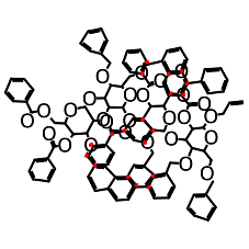 C=CCOC1OC(COCc2ccccc2)C(OCc2ccccc2)C(OC2OC(COC(=O)c3ccccc3)C(OC(=O)c3ccccc3)C(OC3OC(COCc4ccccc4)C(OCc4ccccc4)C(OC4OC(COC(=O)c5ccccc5)C(OC(=O)c5ccccc5)C(OCc5ccc6ccccc6c5)C4OCc4ccccc4)C3OC(=O)c3ccccc3)C2OCc2ccccc2)C1OC(=O)c1ccccc1